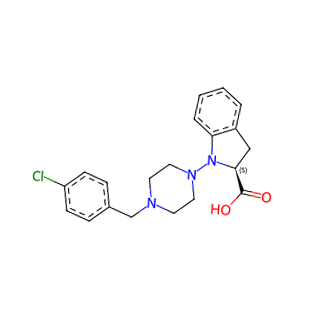 O=C(O)[C@@H]1Cc2ccccc2N1N1CCN(Cc2ccc(Cl)cc2)CC1